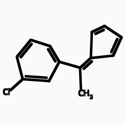 CC(=C1C=CC=C1)c1cccc(Cl)c1